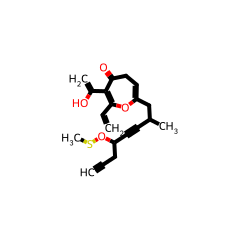 C#CCC(C#CC(C)CC1=CCC(=O)C(C(=C)O)=C(C=C)O1)OSC